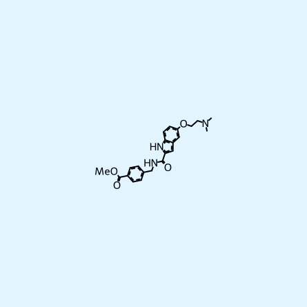 COC(=O)c1ccc(CNC(=O)c2cc3cc(OCCN(C)C)ccc3[nH]2)cc1